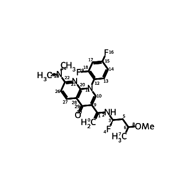 C=C(N[C@H](F)CC(C)OC)c1cn(-c2ccc(F)cc2F)c2nc(N(C)C)ccc2c1=O